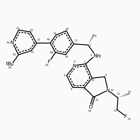 C[C@H](Nc1nccc2c1CN([C@H](C)CF)C2=O)c1ccc(-c2ccnc(C(C)(C)C)c2)c(F)c1